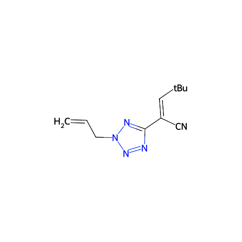 C=CCn1nnc(C(C#N)=CC(C)(C)C)n1